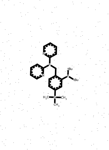 CC(C)(C)P(c1cc([Si](C)(C)C)ccc1CP(c1ccccn1)c1ccccn1)C(C)(C)C